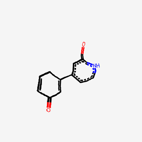 O=C1C=CCC(c2cc[nH]c(=O)c2)=C1